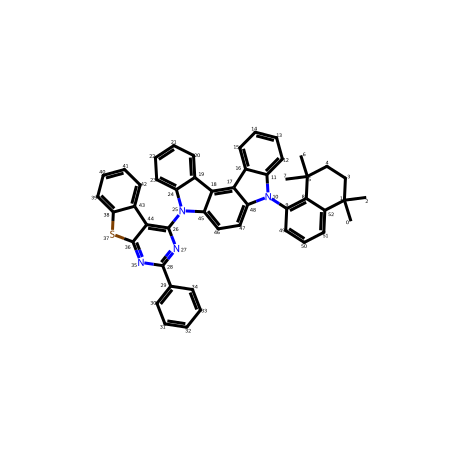 CC1(C)CCC(C)(C)c2c(-n3c4ccccc4c4c5c6ccccc6n(-c6nc(-c7ccccc7)nc7sc8ccccc8c67)c5ccc43)cccc21